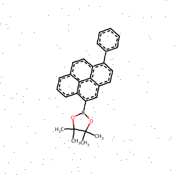 CC1(C)OB(c2cc3ccc(-c4ccccc4)c4ccc5cccc2c5c34)OC1(C)C